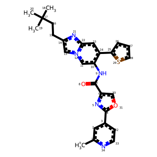 Cc1cc(-c2nc(C(=O)Nc3cn4cc(CCC(C)(C)C)nc4cc3-c3cccs3)co2)ccn1